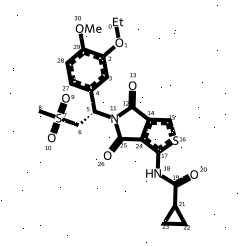 CCOc1cc([C@@H](CS(C)(=O)=O)N2C(=O)c3csc(NC(=O)C4CC4)c3C2=O)ccc1OC